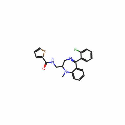 CN1c2ccccc2C(c2ccccc2F)=NCC1CNC(=O)c1cccs1